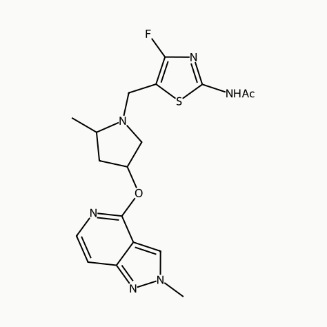 CC(=O)Nc1nc(F)c(CN2CC(Oc3nccc4nn(C)cc34)CC2C)s1